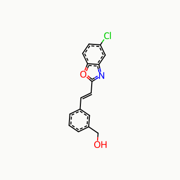 OCc1cccc(C=Cc2nc3cc(Cl)ccc3o2)c1